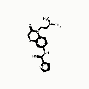 CN(C)CCN1C(=O)CSc2cc(NC(=N)c3cccs3)ccc21